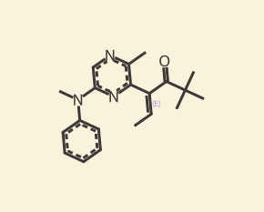 C/C=C(/C(=O)C(C)(C)C)c1nc(N(C)c2ccccc2)cnc1C